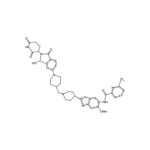 COc1cc2nn(C3CCN(CC4CCN(c5ccc6c(c5)C(O)N(C5CCC(=O)NC5=O)C6=O)CC4)CC3)cc2cc1NC(=O)c1cccc(C(F)(F)F)n1